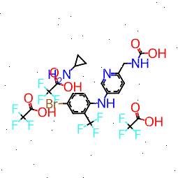 NC1CC1.O=C(O)C(F)(F)F.O=C(O)C(F)(F)F.O=C(O)C(F)(F)F.O=C(O)NCc1ccc(Nc2ccc(Br)cc2C(F)(F)F)cn1